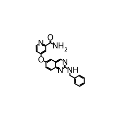 NC(=O)c1cc(Oc2ccc3nc(NCc4ccccc4)ncc3c2)ccn1